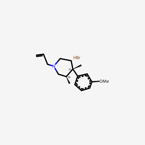 Br.C=CCN1CC[C@](C)(c2cccc(OC)c2)[C@@H](C)C1